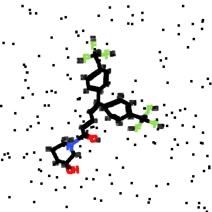 O=C(C=CC=C(c1ccc(C(F)(F)F)cc1)c1ccc(C(F)(F)F)cc1)N1CCCC(O)C1